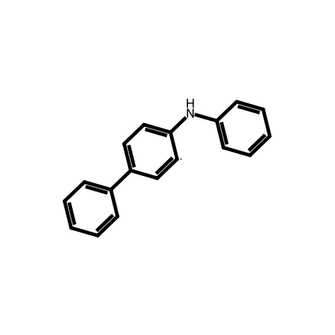 [c]1cc(-c2ccccc2)ccc1Nc1ccccc1